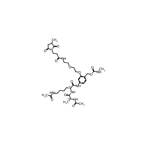 CNC(=O)OCc1ccc(NC(=O)[C@H](CCCCNC(C)=O)NC(=O)[C@H](C)NC(C)=O)cc1OCCOCCNC(=O)CCN1C(=O)CC(C)C1=O